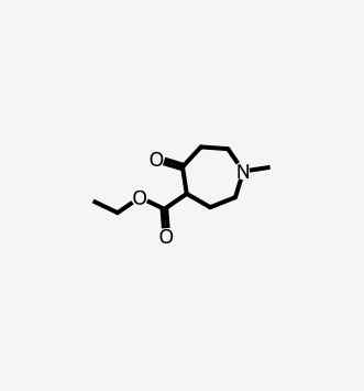 CCOC(=O)C1CCN(C)CCC1=O